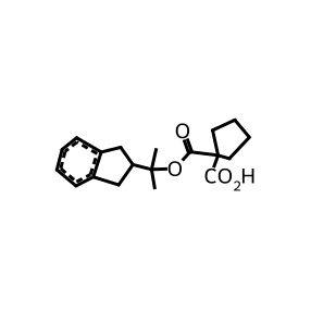 CC(C)(OC(=O)C1(C(=O)O)CCCC1)C1Cc2ccccc2C1